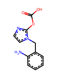 Nc1ccccc1Cn1ccnc1OC(=O)O